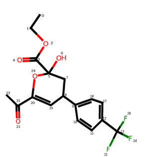 CCOC(=O)C1(O)CC(c2ccc(C(F)(F)F)cc2)C=C(C(C)=O)O1